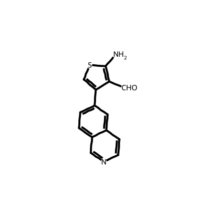 Nc1scc(-c2ccc3cnccc3c2)c1C=O